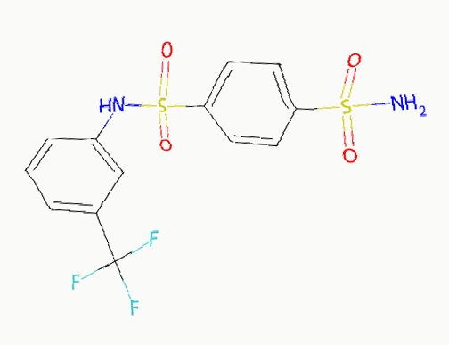 NS(=O)(=O)c1ccc(S(=O)(=O)Nc2cccc(C(F)(F)F)c2)cc1